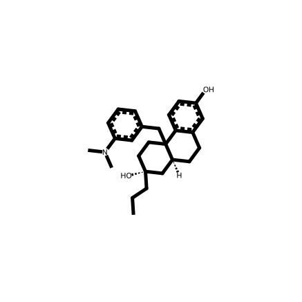 CCC[C@@]1(O)CCC2(Cc3cccc(N(C)C)c3)c3ccc(O)cc3CC[C@H]2C1